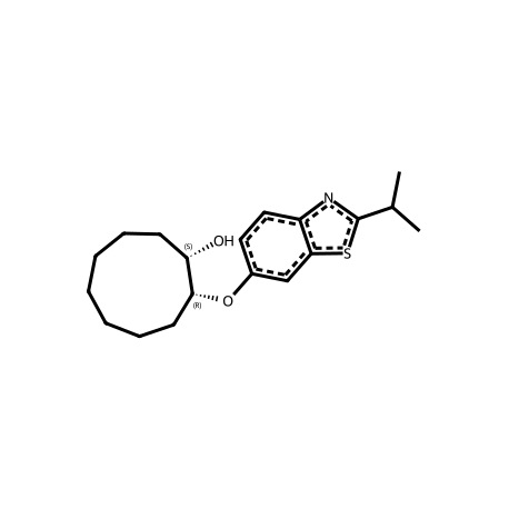 CC(C)c1nc2ccc(O[C@@H]3CCCCCCC[C@@H]3O)cc2s1